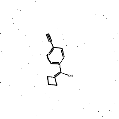 C#Cc1ccc(C(O)=C2CCC2)cc1